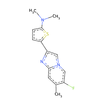 Cc1cc2nc(-c3ccc(N(C)C)s3)cn2cc1F